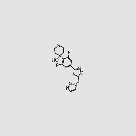 OC1(c2c(F)cc(C3=NO[C@@H](Cn4ccnn4)C3)cc2F)CCSCC1